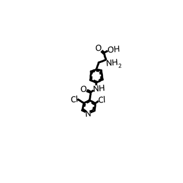 NC(Cc1ccc(NC(=O)c2c(Cl)cncc2Cl)cc1)C(=O)O